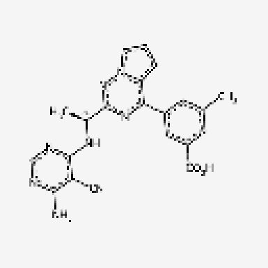 Cc1cc(C(=O)O)cc(-c2nc([C@H](C)Nc3ncnc(N)c3C#N)nn3cccc23)c1